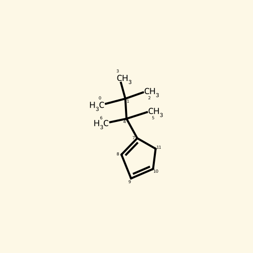 CC(C)(C)C(C)(C)C1=CC=CC1